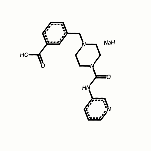 O=C(O)c1cccc(CN2CCN(C(=O)Nc3cccnc3)CC2)c1.[NaH]